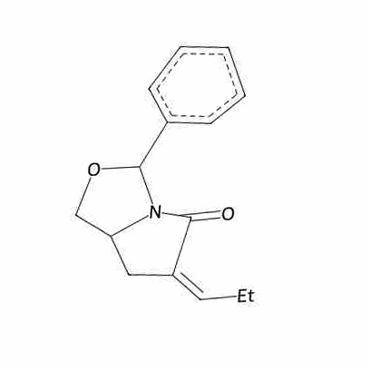 CC/C=C1/CC2COC(c3ccccc3)N2C1=O